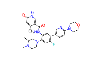 C[C@H]1CN(c2cc(F)c(-c3ccc(N4CCOCC4)nc3)cc2NC(=O)c2c[nH]c(=O)cc2C(F)(F)F)CCN1C